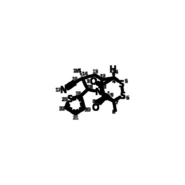 CN1C(=O)[C@H]2SSC1(C)C(=O)N1C2C[C@](C)(C#N)C1c1cccs1